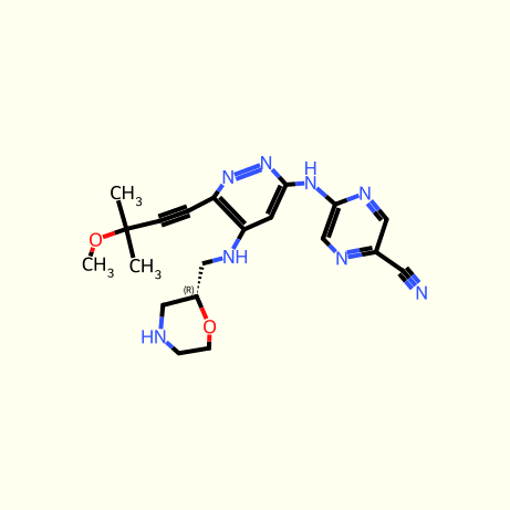 COC(C)(C)C#Cc1nnc(Nc2cnc(C#N)cn2)cc1NC[C@H]1CNCCO1